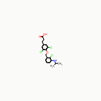 CC(C)Nc1cccc(COc2c(Cl)cc(CCC(=O)O)cc2Cl)c1Cl